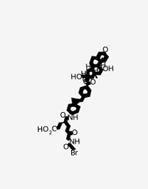 C[C@]12C=CC(=O)C=C1CC[C@@H]1[C@@H]2[C@@H](O)C[C@@]2(C)[C@H]1C[C@H]1O[C@@H](c3ccc(CC4CC45CCC(NC(=O)[C@H](CCC(=O)O)CCC(=O)CNC(=O)CBr)CC5)cc3)O[C@]12C(=O)CO